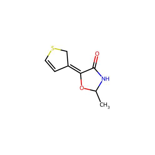 CC1NC(=O)C(=C2C=CSC2)O1